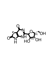 O=c1[nH]c2[nH]c(C3O[C@H](CO)[C@@H](O)[C@H]3O)nc(=O)c2s1